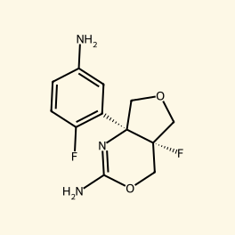 NC1=N[C@@]2(c3cc(N)ccc3F)COC[C@@]2(F)CO1